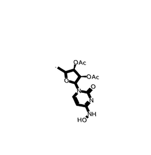 [CH2]C1OC(n2ccc(NO)nc2=O)[C@H](OC(C)=O)[C@@H]1OC(C)=O